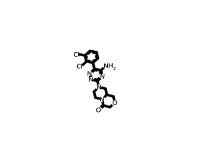 Nc1nc(N2CCN3C(=O)COCC3C2)nnc1-c1cccc(Cl)c1Cl